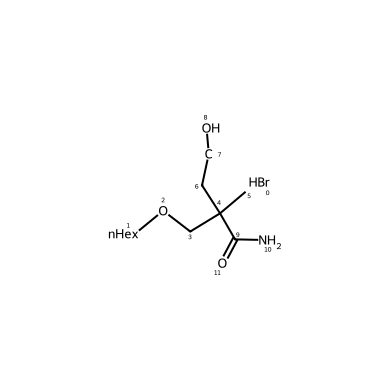 Br.CCCCCCOCC(C)(CCO)C(N)=O